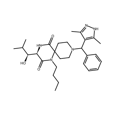 CCCCN1C(=O)[C@@H]([C@@H](O)C(C)C)NC(=O)C12CCN(C(c1ccccc1)c1c(C)n[nH]c1C)CC2